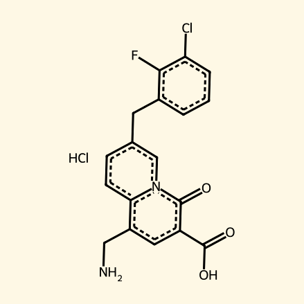 Cl.NCc1cc(C(=O)O)c(=O)n2cc(Cc3cccc(Cl)c3F)ccc12